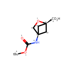 CC(C)(C)OC(=O)N[C@]12CO[C@](C(=O)O)(C1)C2